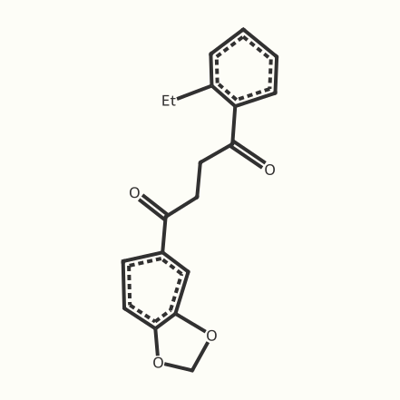 CCc1ccccc1C(=O)CCC(=O)c1ccc2c(c1)OCO2